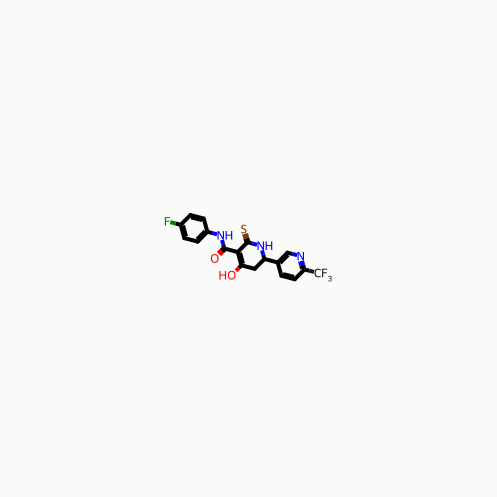 O=C(Nc1ccc(F)cc1)C1=C(O)CC(c2ccc(C(F)(F)F)nc2)NC1=S